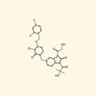 CC(C)(O)C(=O)n1c(=O)n(C(=O)CO)c2cc(Cn3ccc(OCc4ccc(F)cc4F)c(Cl)c3=O)ccc21